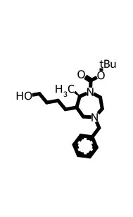 C[C@@H]1C(CCCCO)CN(Cc2ccccc2)CCN1C(=O)OC(C)(C)C